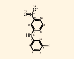 Cc1cccc(Nc2cccc([N+](=O)[O-])c2)c1